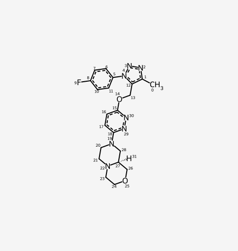 Cc1nnn(-c2ccc(F)cc2)c1COc1ccc(N2CCN3CCOC[C@@H]3C2)nn1